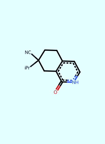 CC(C)C1(C#N)CCc2cc[nH]c(=O)c2C1